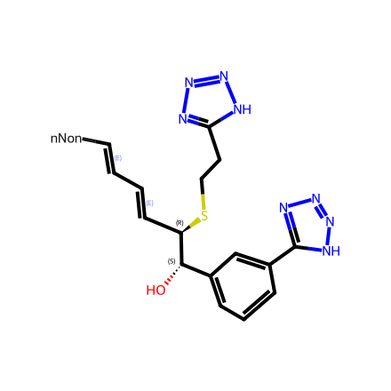 CCCCCCCCC/C=C/C=C/[C@@H](SCCc1nnn[nH]1)[C@@H](O)c1cccc(-c2nnn[nH]2)c1